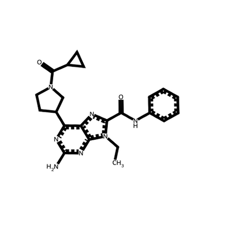 CCn1c(C(=O)Nc2ccccc2)nc2c(C3CCN(C(=O)C4CC4)C3)nc(N)nc21